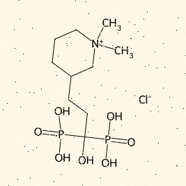 C[N+]1(C)CCCC(CCC(O)(P(=O)(O)O)P(=O)(O)O)C1.[Cl-]